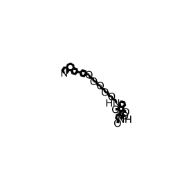 O=C1CCC(N2C(=O)c3cccc(NCCOCCOCCOCCOCCOc4ccc(-c5ccc6c(c5)CCCc5ccncc5-6)cc4)c3C2=O)C(=O)N1